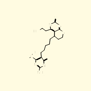 Nc1nc(B(O)O)c(CCCCCC2CCNc3nc(=O)[nH]c(CCO)c32)c(=O)[nH]1